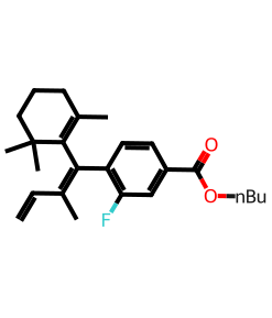 C=CC(C)=C(C1=C(C)CCCC1(C)C)c1ccc(C(=O)OCCCC)cc1F